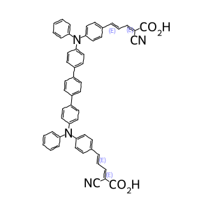 N#C/C(=C\C=C\c1ccc(N(c2ccccc2)c2ccc(-c3ccc(-c4ccc(N(c5ccccc5)c5ccc(/C=C/C=C(\C#N)C(=O)O)cc5)cc4)cc3)cc2)cc1)C(=O)O